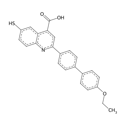 CCOc1ccc(-c2ccc(-c3cc(C(=O)O)c4cc(S)ccc4n3)cc2)cc1